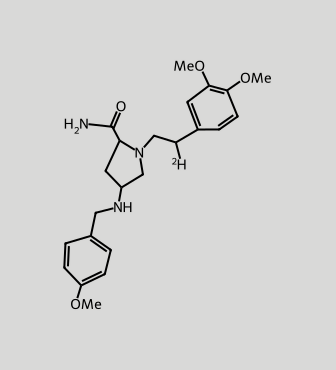 [2H]C(CN1CC(NCc2ccc(OC)cc2)CC1C(N)=O)c1ccc(OC)c(OC)c1